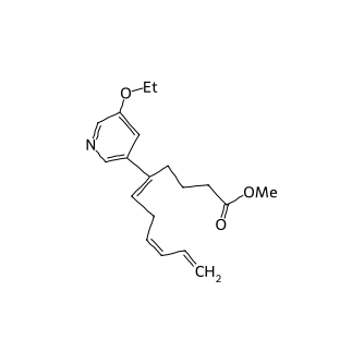 C=C/C=C\C/C=C(\CCCC(=O)OC)c1cncc(OCC)c1